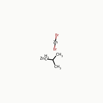 C[C](C)C.[Br][Zn][Br].[Zn]